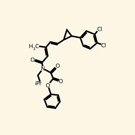 CC(C=CC1CC1c1ccc(Cl)c(Cl)c1)=CC(=O)N(CC(C)C)C(=O)C(=O)Oc1ccccc1